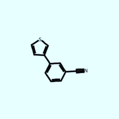 N#Cc1cccc(-c2ccsc2)c1